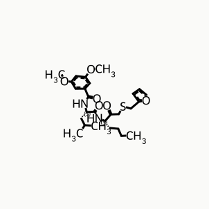 CCCC[C@H](NC(=O)[C@H](CC(C)C)NC(=O)c1cc(OC)cc(OC)c1)C(=O)CSCc1ccco1